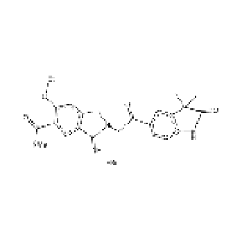 Br.CCOc1cc2c(cc1C(=O)NC)C(=N)N(CC(=O)c1ccc3c(c1)C(C)(C)C(=O)N3)C2